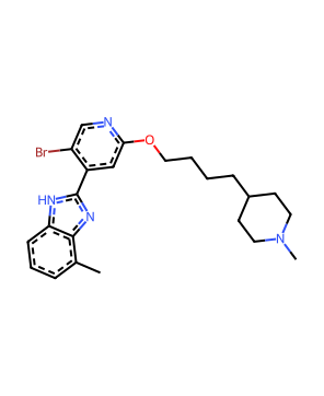 Cc1cccc2[nH]c(-c3cc(OCCCCC4CCN(C)CC4)ncc3Br)nc12